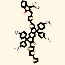 Cc1ccc(C2(c3ccc(C)cc3)c3cc4c(cc3-c3sc(-c5ccc(/C=C6\C(=O)c7ccccc7C6=C(C#N)C#N)s5)cc32)C(c2ccc(C)cc2)(c2ccc(C)cc2)c2c-4sc3c2sc2cc(-c4cccs4)sc23)cc1